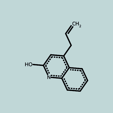 C=CCc1cc(O)nc2ccccc12